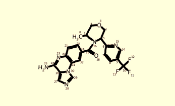 CC1COCC(c2ccc(C(F)(F)F)cn2)N1C(=O)c1ccc2nc(N)c3cncn3c2c1